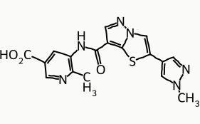 Cc1ncc(C(=O)O)cc1NC(=O)c1cnn2cc(-c3cnn(C)c3)sc12